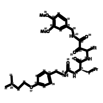 CCC(NC(=O)[C@H](CC(C)C)NC(=O)NCc1ccc(OCCN(C)C)cc1)C(=O)C(=O)NCc1ccc(OC)c(OC)c1